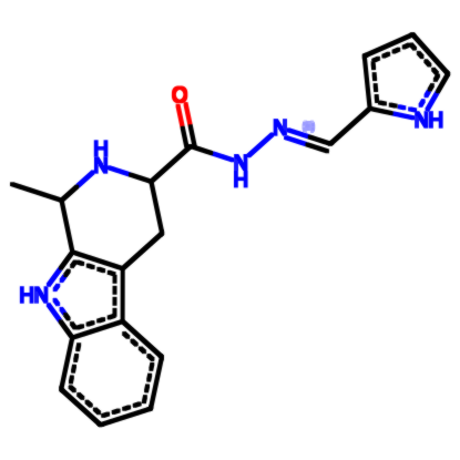 CC1NC(C(=O)N/N=C/c2ccc[nH]2)Cc2c1[nH]c1ccccc21